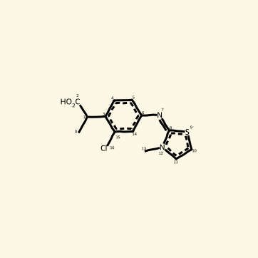 CC(C(=O)O)c1ccc(N=c2sccn2C)cc1Cl